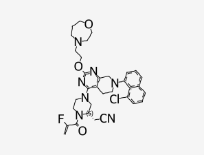 C=C(F)C(=O)N1CCN(c2nc(OCCN3CCCOCC3)nc3c2CCN(c2cccc4cccc(Cl)c24)C3)C[C@@H]1CC#N